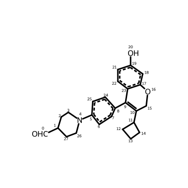 O=CC1CCN(c2ccc(C3=C(C4CCC4)COc4cc(O)ccc43)cc2)CC1